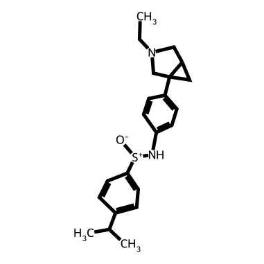 CCN1CC2CC2(c2ccc(N[S+]([O-])c3ccc(C(C)C)cc3)cc2)C1